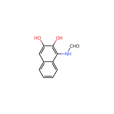 O=CNc1c(O)c(O)cc2ccccc12